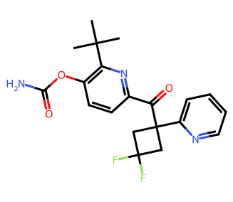 CC(C)(C)c1nc(C(=O)C2(c3ccccn3)CC(F)(F)C2)ccc1OC(N)=O